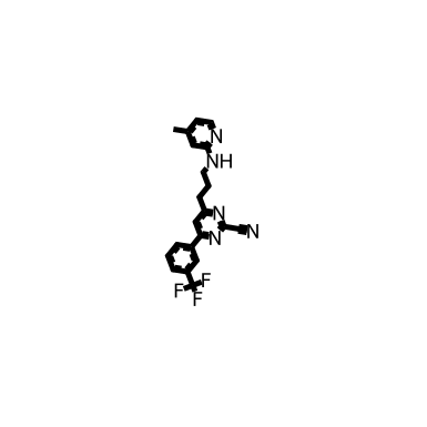 Cc1ccnc(NCCCc2cc(-c3cccc(C(F)(F)F)c3)nc(C#N)n2)c1